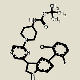 CC(C)(C)OC(=O)NC1CCN(c2cncc(C3CNc4ccc(-c5c(F)cccc5Cl)cc43)n2)CC1